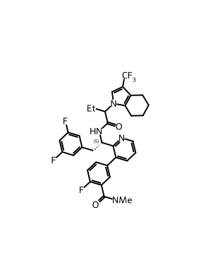 CCC(C(=O)N[C@@H](Cc1cc(F)cc(F)c1)c1ncccc1-c1ccc(F)c(C(=O)NC)c1)n1cc(C(F)(F)F)c2c1CCCC2